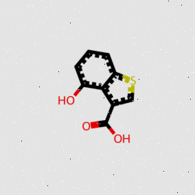 O=C(O)c1csc2cccc(O)c12